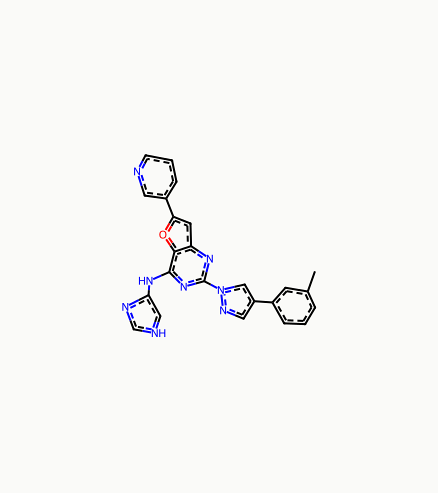 Cc1cccc(-c2cnn(-c3nc(Nc4c[nH]cn4)c4oc(-c5cccnc5)cc4n3)c2)c1